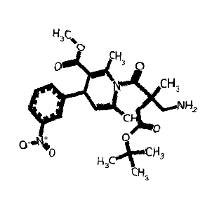 COC(=O)C1=C(C)N(C(=O)C(C)(CN)CC(=O)OC(C)(C)C)C(C)=CC1c1cccc([N+](=O)[O-])c1